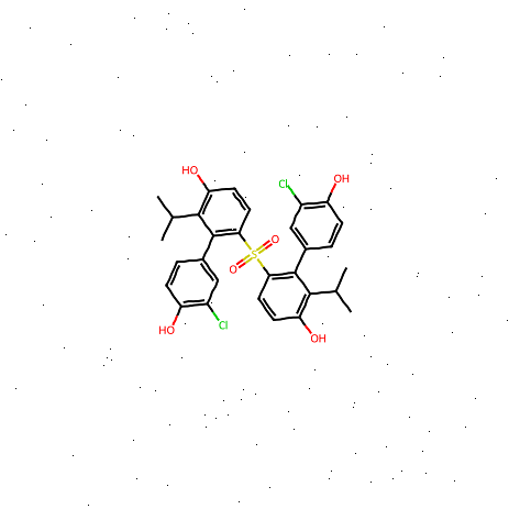 CC(C)c1c(O)ccc(S(=O)(=O)c2ccc(O)c(C(C)C)c2-c2ccc(O)c(Cl)c2)c1-c1ccc(O)c(Cl)c1